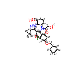 COCC(=O)N1c2cccc(O)c2NC2=C(C(=O)CC(C)(C)C2)[C@@H]1c1ccc(OCc2ccccc2)cc1F